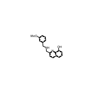 COc1cccc(CNCc2ccc3cccc(O)c3n2)c1